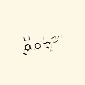 Cc1nc(N[C@H]2CC[C@@H](Oc3cc(N4CCOCC4)cc4nccnc34)CC2)cc(N2CCN(C)CC2)n1